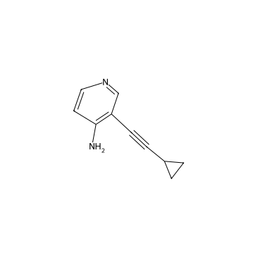 Nc1ccncc1C#CC1CC1